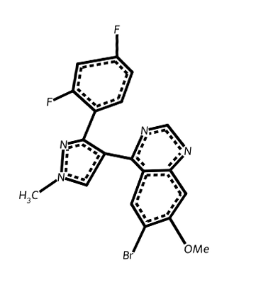 COc1cc2ncnc(-c3cn(C)nc3-c3ccc(F)cc3F)c2cc1Br